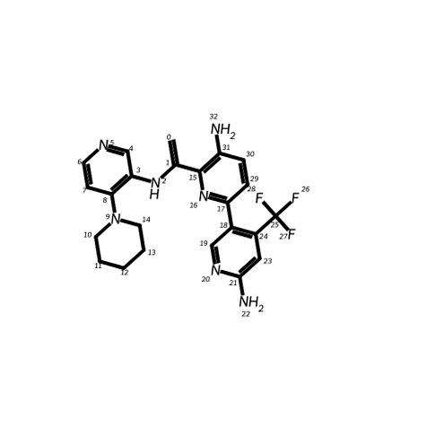 C=C(Nc1cnccc1N1CCCCC1)c1nc(-c2cnc(N)cc2C(F)(F)F)ccc1N